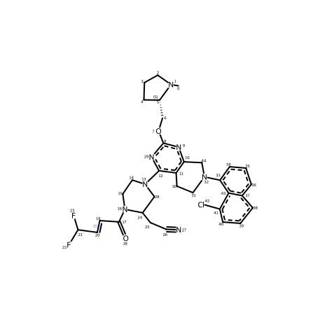 CN1CCC[C@H]1COc1nc2c(c(N3CCN(C(=O)/C=C/C(F)F)C(CC#N)C3)n1)CCN(c1cccc3cccc(Cl)c13)C2